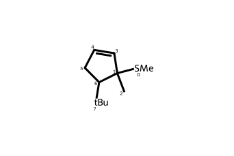 CSC1(C)C=CCC1C(C)(C)C